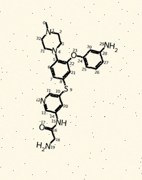 CN1CCN(c2ccc(Sc3cncc(NC(=O)CN)c3)cc2Oc2cccc(N)c2)CC1